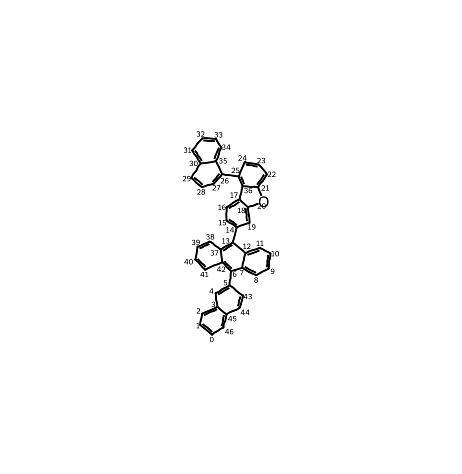 c1ccc2cc(-c3c4ccccc4c(-c4ccc5c(c4)oc4cccc(-c6cccc7ccccc67)c45)c4ccccc34)ccc2c1